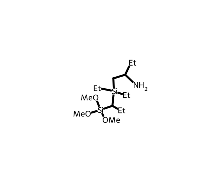 CCC(N)C[Si](CC)(CC)C(CC)[Si](OC)(OC)OC